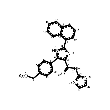 CC(=O)OCc1ccc(-c2[nH]c(-c3cccc4ccccc34)nc2C(=O)Nc2nccs2)cc1